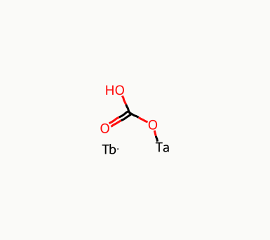 O=C(O)[O][Ta].[Tb]